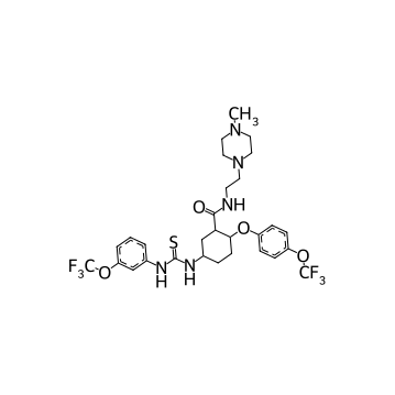 CN1CCN(CCNC(=O)C2CC(NC(=S)Nc3cccc(OC(F)(F)F)c3)CCC2Oc2ccc(OC(F)(F)F)cc2)CC1